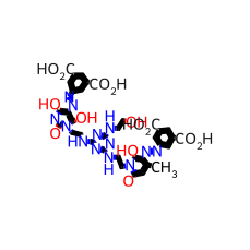 Cc1cc(=O)n(CCNc2nc(NCCO)nc(NCCn3c(O)c(N=Nc4cc(C(=O)O)cc(C(=O)O)c4)c(O)nc3=O)n2)c(O)c1N=Nc1cc(C(=O)O)cc(C(=O)O)c1